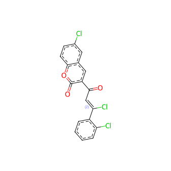 O=C(/C=C(\Cl)c1ccccc1Cl)c1cc2cc(Cl)ccc2oc1=O